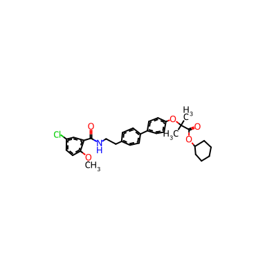 COc1ccc(Cl)cc1C(=O)NCCc1ccc(-c2ccc(OC(C)(C)C(=O)OC3CCCCC3)cc2)cc1